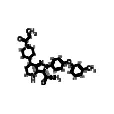 C=CC(=O)N1CCC(C2CCNc3c2nn(-c2ccc(Oc4cccc(C(F)(F)F)c4)cc2)c3C(N)=O)CC1